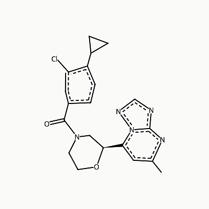 Cc1cc([C@@H]2CN(C(=O)c3ccc(C4CC4)c(Cl)c3)CCO2)n2ncnc2n1